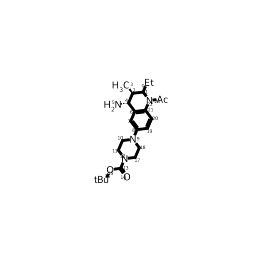 CCC1[C@H](C)[C@@H](N)c2cc(N3CCN(C(=O)OC(C)(C)C)CC3)ccc2N1C(C)=O